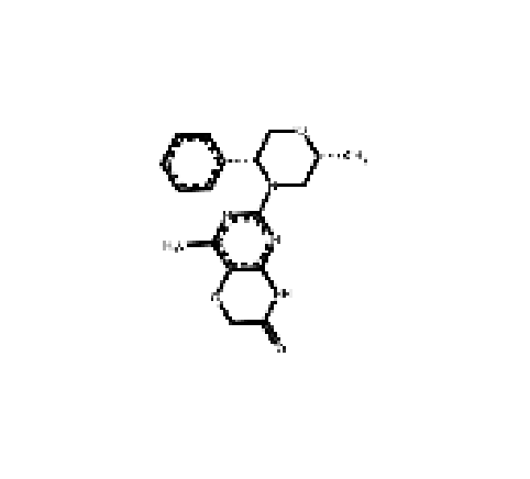 Cc1nc(N2C[C@@H](C)OC[C@H]2c2ccccc2)nc2c1OCC(=O)N2